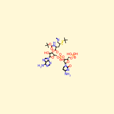 C=NCC(C[C@H](NC(=O)OC(C)(C)C)C(=O)O[C@H]1[C@@H](O)[C@H](n2cnc3c(N)ncnc32)O[C@@H]1COP(=O)(O)O[C@H]1C[C@H](n2ccc(N)nc2=O)O[C@@H]1COP(=O)(O)O)SSC(C)(C)C